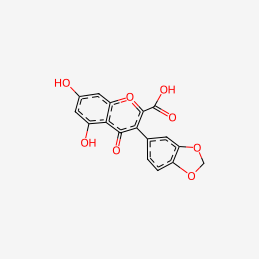 O=C(O)c1oc2cc(O)cc(O)c2c(=O)c1-c1ccc2c(c1)OCO2